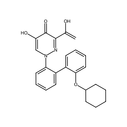 C=C(O)c1nn(-c2ccccc2-c2ccccc2OC2CCCCC2)cc(O)c1=O